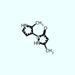 Cc1cc(=O)n(-c2cc[nH]c2C)[nH]1